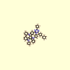 c1ccc(-c2ccc(-c3nc(-c4ccccc4)nc(-c4ccc5c(c4)c4c6c(c7ccccc7n6-c6ccccc6)c6c(c7ccccc7n6-c6ccccc6)c4n5-c4ccccc4)n3)cc2)cc1